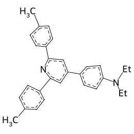 CCN(CC)c1ccc(-c2cc(-c3ccc(C)cc3)nc(-c3ccc(C)cc3)c2)cc1